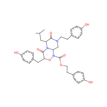 CC(C)CC1C(=O)N(CCc2ccc(O)cc2)CC2N(C(=O)OCCc3ccc(O)cc3)OC(Cc3ccc(O)cc3)C(=O)N12